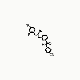 N#Cc1ccc(NC(=O)c2cccc(CN(Cc3ccc(C#N)cc3F)C3CC3)c2)cc1